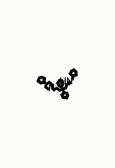 c1ccc(CNCCCC(CCCN2CCC(c3ccccc3)CC2)(c2ccccc2)c2ccccc2)cc1